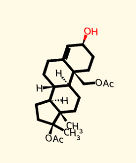 CC(=O)OC[C@]12CC[C@H](O)C=C1CC[C@@H]1[C@@H]2CC[C@@]2(C)[C@H]1CC[C@]2(C)OC(C)=O